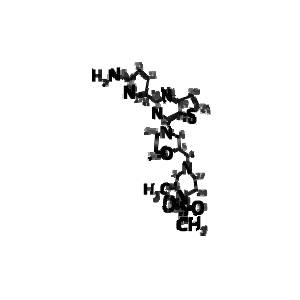 C[C@H]1CN(CC2CN(c3nc(-c4ccc(N)nc4)nc4ccsc34)CCO2)CCN1S(C)(=O)=O